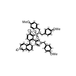 COc1ccc(CN(Cc2ccc(OC)cc2)S(=O)(=O)c2c(C(F)(F)F)ccc(-c3cccc4c[n+]([O-])ccc34)c2-c2nnn(Cc3ccc(OC)cc3)n2)cc1